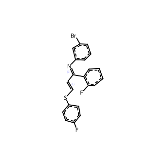 Fc1ccc(S/C=C/C(=N/c2cccc(Br)c2)c2ccccc2F)cc1